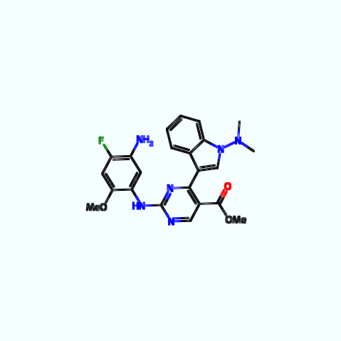 COC(=O)c1cnc(Nc2cc(N)c(F)cc2OC)nc1-c1cn(N(C)C)c2ccccc12